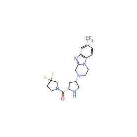 O=C([C@@H]1C[C@H](N2CCn3c(nc4cc(C(F)(F)F)ccc43)C2)CN1)N1CCC(F)(F)C1